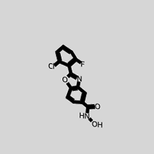 O=C(NO)c1ccc2oc(-c3c(F)cccc3Cl)nc2c1